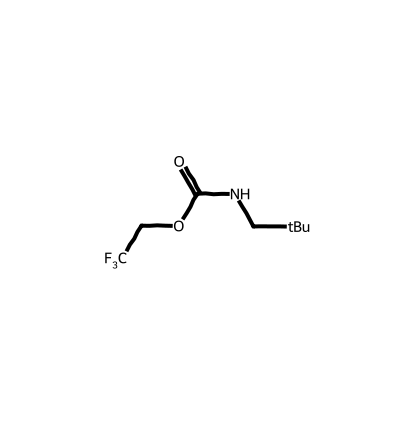 CC(C)(C)CNC(=O)OCC(F)(F)F